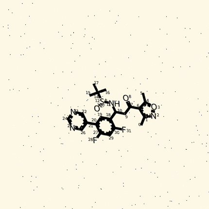 Cc1noc(C)c1C(=O)CC(N[S@+]([O-])C(C)(C)C)c1cc(-c2cncnc2)c(F)cc1F